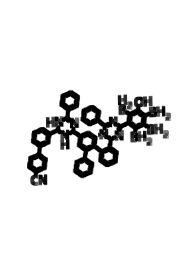 Bc1c(B)c(O)c(B)c(C2=NC(c3ccccc3-c3ccc(C4N=C(c5ccccc5)NC(c5cccc(-c6ccc(C#N)cc6)c5)N4)cc3-c3ccccc3)N(C)C(c3ccccc3)=N2)c1B